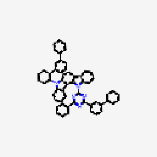 C1=CCC(c2cccc(-c3ccccc3)c2)C(n2c3ccccc3c3c2ccc2c4ccccc4n(-c4nc(-c5ccccc5)nc(-c5cccc(-c6ccccc6)c5)n4)c23)=C1